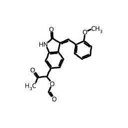 COc1ccccc1C=C1C(=O)Nc2cc(C(OC=O)C(C)=O)ccc21